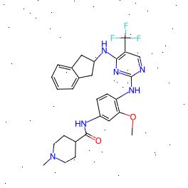 COc1cc(NC(=O)C2CCN(C)CC2)ccc1Nc1ncc(C(F)(F)F)c(NC2Cc3ccccc3C2)n1